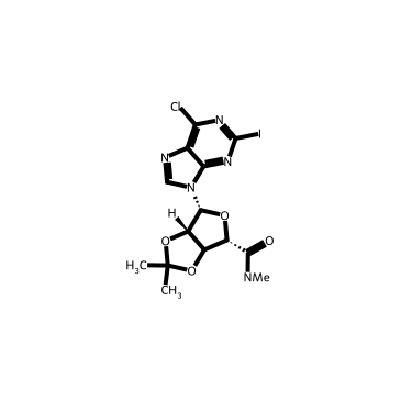 CNC(=O)[C@H]1O[C@@H](n2cnc3c(Cl)nc(I)nc32)[C@H]2OC(C)(C)OC12